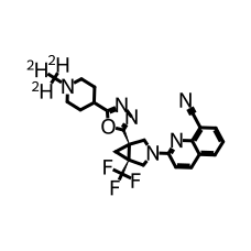 [2H]C([2H])([2H])N1CCC(c2nnc([C@@]34CN(c5ccc6cccc(C#N)c6n5)C[C@]3(C(F)(F)F)C4)o2)CC1